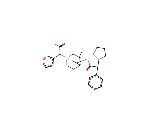 NC(=O)C(c1ccon1)[N+]12CCC(CC1)[C@@H](OC(=O)[C@](O)(c1ccccc1)C1CCCC1)C2